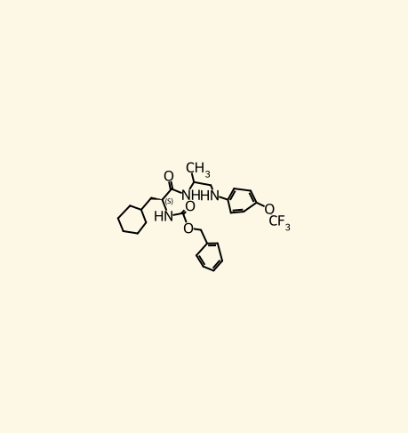 CC(CNc1ccc(OC(F)(F)F)cc1)NC(=O)[C@H](CC1CCCCC1)NC(=O)OCc1ccccc1